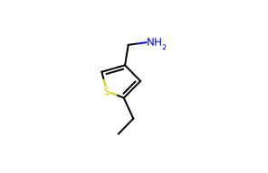 CCc1cc(CN)cs1